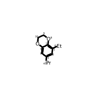 CCc1cc(C(C)C)cc2c1OCCO2